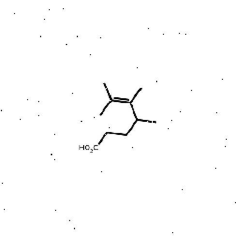 CC(C)=C(C)C(C)CCC(=O)O